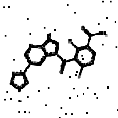 NC(=O)c1ccc(F)c(C(=O)c2c[nH]c3ncc(-c4cscn4)cc23)c1F